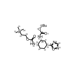 CC(C)(C)OC(=O)N[C@@H]1C[C@@H](c2ncno2)CC[C@@H]1NC(=O)OCC[Si](C)(C)C